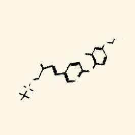 CCOc1ccc(Oc2ccc(C=CC(C)CO[Si](C)(C)C(C)(C)C)cn2)c(Cl)c1